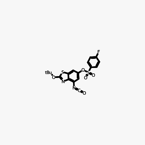 CC(C)(C)Oc1nc2c(N=C=O)cc(OS(=O)(=O)c3ccc(F)cc3)cc2s1